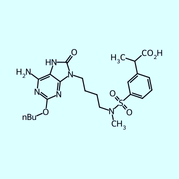 CCCCOc1nc(N)c2[nH]c(=O)n(CCCCN(C)S(=O)(=O)c3cccc(C(C)C(=O)O)c3)c2n1